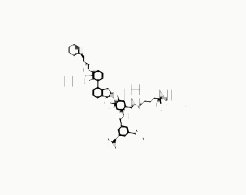 Cc1c(OCCCN2CCCCC2)cccc1-c1cccc2c1CC[C@@H]2Oc1cc(OCc2cc(C#N)cc(C#N)c2)c(CNCCCCC(N)=O)cc1Cl